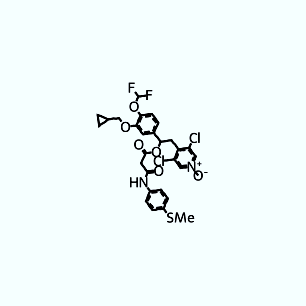 CSc1ccc(NC(=O)CC(=O)OC(Cc2c(Cl)c[n+]([O-])cc2Cl)c2ccc(OC(F)F)c(OCC3CC3)c2)cc1